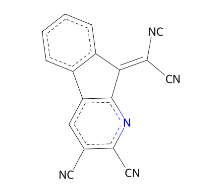 [C-]#[N+]/C(C#N)=C1\c2ccccc2-c2cc(C#N)c(C#N)nc21